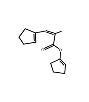 CC(=CC1=CCCC1)C(=O)OC1=CCCC1